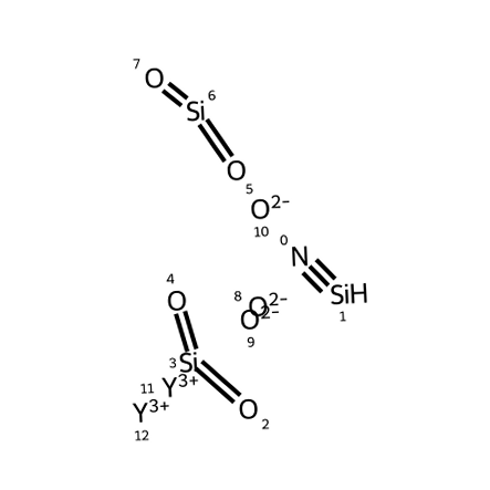 N#[SiH].O=[Si]=O.O=[Si]=O.[O-2].[O-2].[O-2].[Y+3].[Y+3]